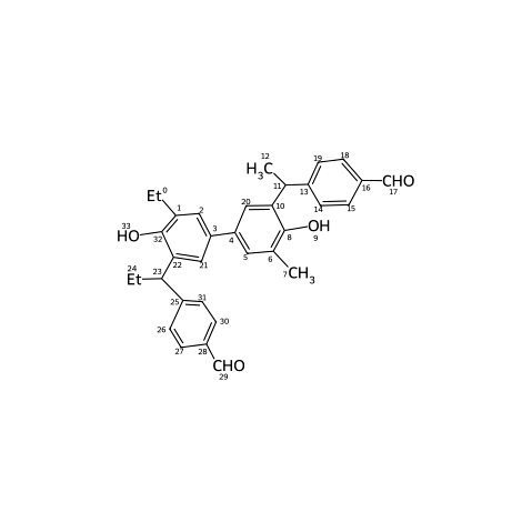 CCc1cc(-c2cc(C)c(O)c(C(C)c3ccc(C=O)cc3)c2)cc(C(CC)c2ccc(C=O)cc2)c1O